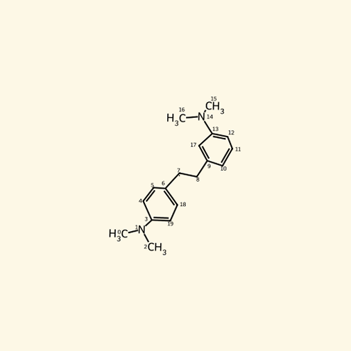 CN(C)c1ccc([CH]Cc2cccc(N(C)C)c2)cc1